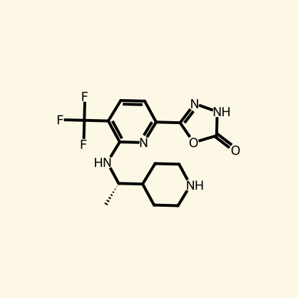 C[C@H](Nc1nc(-c2n[nH]c(=O)o2)ccc1C(F)(F)F)C1CCNCC1